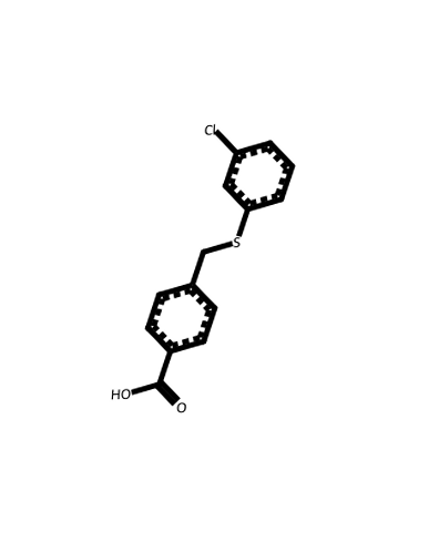 O=C(O)c1ccc(CSc2cccc(Cl)c2)cc1